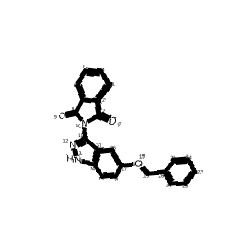 O=C1c2ccccc2C(=O)N1c1n[nH]c2ccc(OCc3ccccc3)cc12